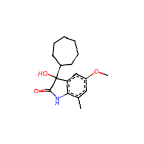 COc1cc(C)c2c(c1)C(O)(C1CCCCCC1)C(=O)N2